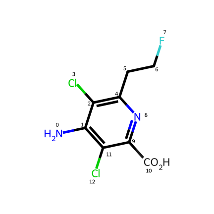 Nc1c(Cl)c(CCF)nc(C(=O)O)c1Cl